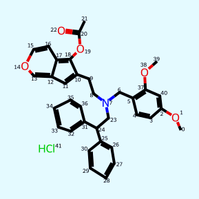 COc1ccc(CN(CCc2cc3coccc-3c2OC(C)=O)CC(c2ccccc2)c2ccccc2)c(OC)c1.Cl